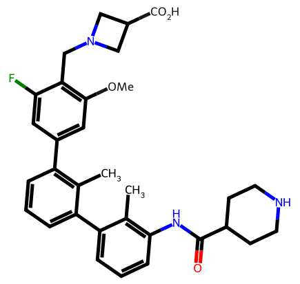 COc1cc(-c2cccc(-c3cccc(NC(=O)C4CCNCC4)c3C)c2C)cc(F)c1CN1CC(C(=O)O)C1